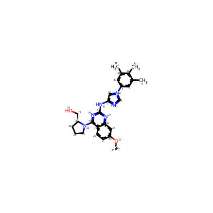 Cc1cc(-n2cnc(Nc3nc(N4CCC[C@H]4CO)c4ccc(OC(C)C)cc4n3)c2)cc(C)c1C